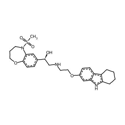 CS(=O)(=O)N1CCCOc2ccc([C@@H](O)CNCCOc3ccc4c5c([nH]c4c3)CCCC5)cc21